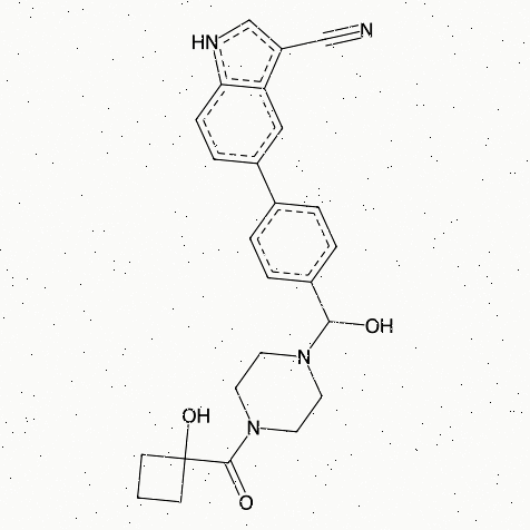 N#Cc1c[nH]c2ccc(-c3ccc(C(O)N4CCN(C(=O)C5(O)CCC5)CC4)cc3)cc12